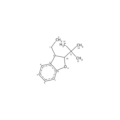 CCC1c2ccccc2OC1C(C)(C)C